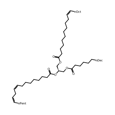 CCCCC/C=C\C/C=C\CCCCCCCC(=O)O[C@@H](COC(=O)CCCCCCCCC/C=C\CCCCCCCC)COC(=O)CCCCCCCCCCCCCCC